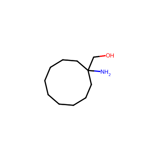 NC1(CO)CCCCCCCCC1